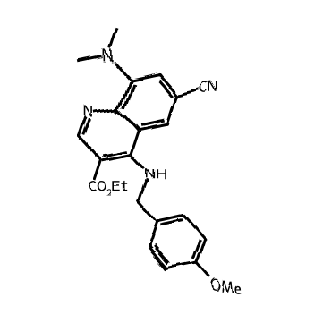 CCOC(=O)c1cnc2c(N(C)C)cc(C#N)cc2c1NCc1ccc(OC)cc1